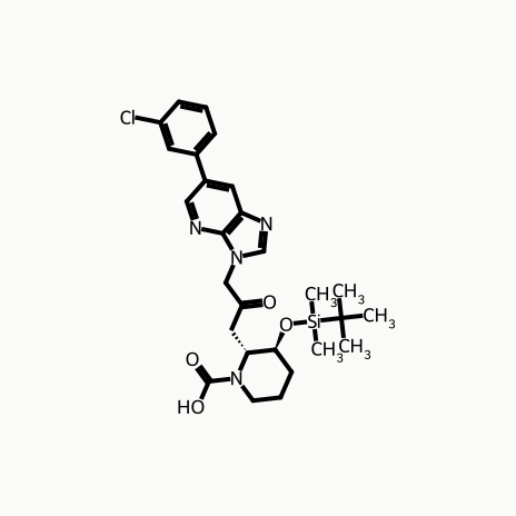 CC(C)(C)[Si](C)(C)O[C@H]1CCCN(C(=O)O)[C@@H]1CC(=O)Cn1cnc2cc(-c3cccc(Cl)c3)cnc21